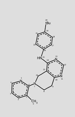 Cc1cccnc1N1CCc2ncnc(Nc3ccc(C(C)(C)C)cc3)c2C1